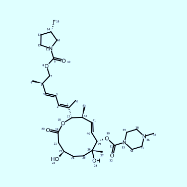 C/C(=C\C=C\[C@@H](C)COC(=O)N1CC[C@H](F)C1)[C@H]1OC(=O)C[C@H](O)CC[C@@](C)(O)[C@@H](OC(=O)N2CCN(C)CC2)/C=C/[C@@H]1C